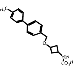 Cc1ccc(-c2ccc(COC3CC(NC(=O)O)C3)cc2)cc1